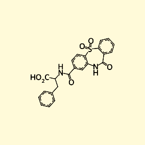 O=C(NC(Cc1ccccc1)C(=O)O)c1ccc2c(c1)NC(=O)c1ccccc1S2(=O)=O